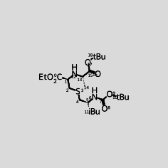 CCOC(=O)[C@H](CSC[C@@H](NC(=O)OC(C)(C)C)[C@@H](C)CC)N[C@@H](C)C(=O)OC(C)(C)C